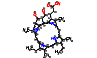 C=Cc1c(C)c2cc3nc(c4c5[nH]c(cc6nc(cc1[nH]2)C(C)=C6CC)c(C)c5C(=O)C4C=O)[C@@H](CCC(=O)O)C3C